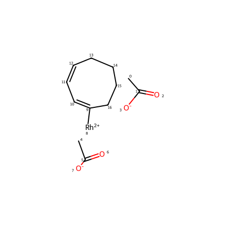 CC(=O)[O-].CC(=O)[O-].[Rh+2][C]1=CC=CCCCC1